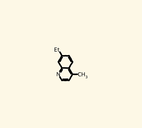 CCc1ccc2c(C)ccnc2c1